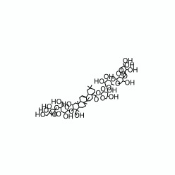 CC1OC(OC2C(OC(=O)C34CCC(C)(C)CC3C3=CCC5C6(C)CC(O)C(OC7OC(CO)C(OC8OCC(O)(CO)C8O)C(O)C7O)C(C)(CO)C6CCC5(C)C3(C)CC4)OCC(O)C2O)C(O)C(O)C1OC1OCC(O)C(OC2OCC(O)(CO)C2O)C1O